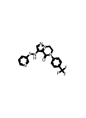 O=C1c2c(NSc3cccnc3)cnn2CCN1c1ccc(C(F)(F)F)cc1